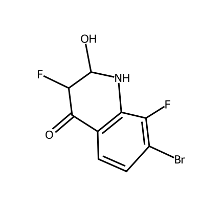 O=C1c2ccc(Br)c(F)c2NC(O)C1F